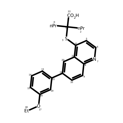 CCCC(CCC)(Sc1ccnc2ccc(-c3cccc(OCC)c3)cc12)C(=O)O